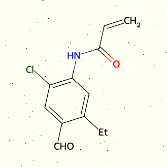 C=CC(=O)Nc1cc(CC)c(C=O)cc1Cl